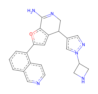 NC1=NCC(c2cnn(C3CNC3)c2)c2cc(-c3cccc4cnccc34)oc21